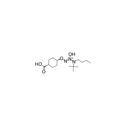 CCCCN(/[N+](O)=N/O[C@H]1CC[C@@H](C(=O)O)CC1)C(C)(C)C